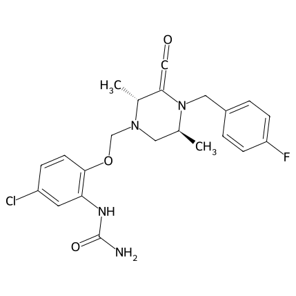 C[C@@H]1C(=C=O)N(Cc2ccc(F)cc2)[C@@H](C)CN1COc1ccc(Cl)cc1NC(N)=O